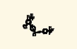 O=C(C#Cc1ccc(C(F)(F)F)cc1)N1CCN(c2cc(C(F)(F)F)ccc2Cl)CC1